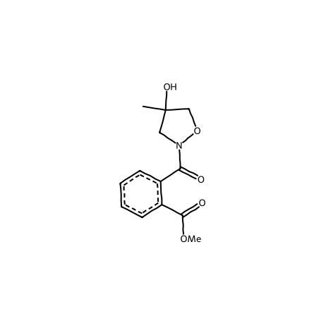 COC(=O)c1ccccc1C(=O)N1CC(C)(O)CO1